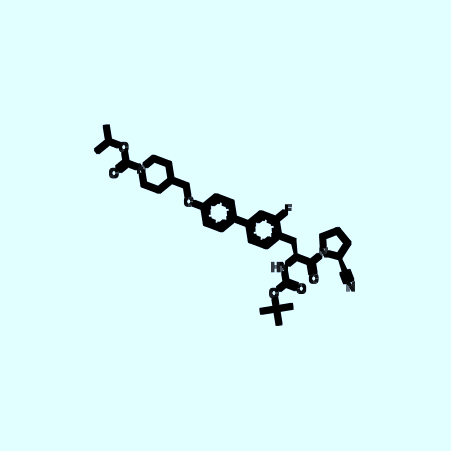 CC(C)OC(=O)N1CCC(COc2ccc(-c3ccc(C[C@H](NC(=O)OC(C)(C)C)C(=O)N4CCC[C@H]4C#N)c(F)c3)cc2)CC1